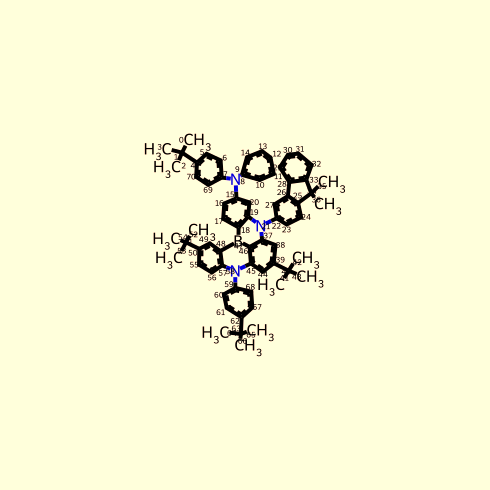 CC(C)(C)c1ccc(N(c2ccccc2)c2ccc3c(c2)N(c2ccc4c(c2)-c2ccccc2C4(C)C)c2cc(C(C)(C)C)cc4c2B3c2cc(C(C)(C)C)ccc2N4c2ccc(C(C)(C)C)cc2)cc1